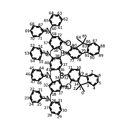 CC1(C)c2ccccc2-c2ccc3c(c21)Oc1cc(N(c2ccccc2)c2ccccc2)cc2c1B3c1cc3c(cc1N2c1ccccc1)N(c1ccccc1)c1cc(N(c2ccccc2)c2ccccc2)cc2c1B3c1ccc3c(c1O2)C(C)(C)c1ccccc1-3